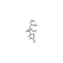 Cl.NCC(O)CNC(=O)c1ccc(Cl)cc1